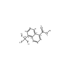 COC(=O)c1cccc2c(C(F)(F)F)cccc12